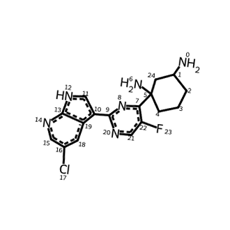 NC1CCCC(N)(c2nc(-c3c[nH]c4ncc(Cl)cc34)ncc2F)C1